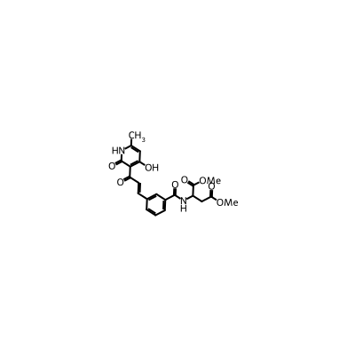 COC(=O)CC(NC(=O)c1cccc(C=CC(=O)c2c(O)cc(C)[nH]c2=O)c1)C(=O)OC